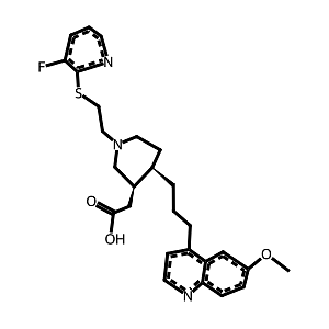 COc1ccc2nccc(CCC[C@@H]3CCN(CCSc4ncccc4F)C[C@@H]3CC(=O)O)c2c1